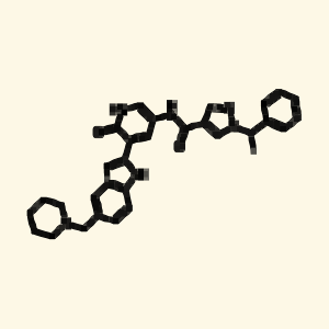 CC(c1ccccc1)n1cc(C(=O)Nc2c[nH]c(=O)c(-c3cc4cc(CN5CCCCC5)ccc4[nH]3)c2)cn1